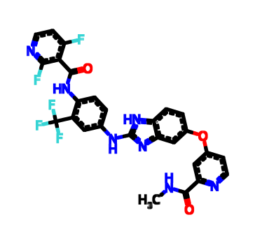 CNC(=O)c1cc(Oc2ccc3[nH]c(Nc4ccc(NC(=O)c5c(F)ccnc5F)c(C(F)(F)F)c4)nc3c2)ccn1